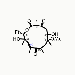 CC[C@H]1OC(=O)[C@H](C)C(=O)C[C@@H](O)[C@](C)(OC)C[C@@H](C)C(=O)/C(C)=C/[C@]1(C)O